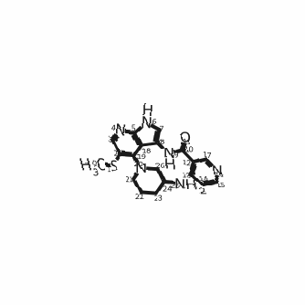 CSc1cnc2[nH]cc(NC(=O)c3cccnc3)c2c1N1CCCC(N)C1